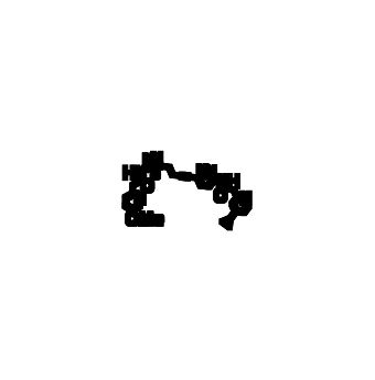 COc1ccc(CC(=O)Nc2nnc(CCC#Cc3ccc(NC(=O)Cc4cc(C5CC5)ccn4)nn3)s2)nc1